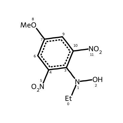 CCN(O)c1c([N+](=O)[O-])cc(OC)cc1[N+](=O)[O-]